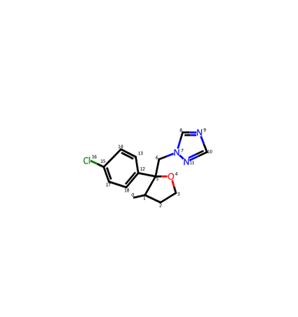 CC1CCOC1(Cn1cncn1)c1ccc(Cl)cc1